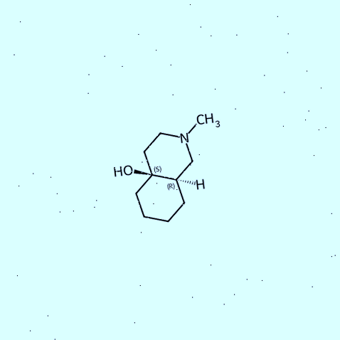 CN1CC[C@@]2(O)CCCC[C@@H]2C1